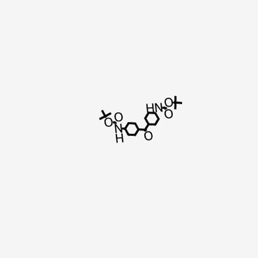 CC(C)(C)OC(=O)NC1CCC(C(=O)C2CCC(NC(=O)OC(C)(C)C)CC2)CC1